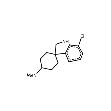 CNC1CCC(CN)(c2cccc(Cl)c2)CC1